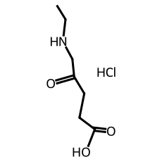 CCNCC(=O)CCC(=O)O.Cl